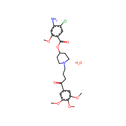 COc1cc(N)c(Cl)cc1C(=O)OC1CCN(CCCC(=O)c2cc(OC)c(OC)c(OC)c2)CC1.O